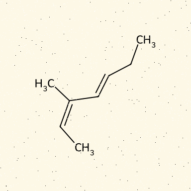 C/C=C(C)\C=C\CC